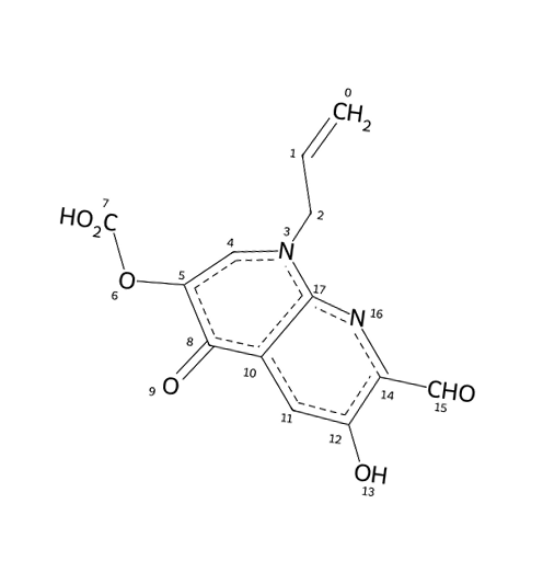 C=CCn1cc(OC(=O)O)c(=O)c2cc(O)c(C=O)nc21